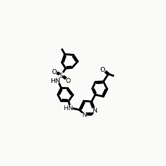 CC(=O)c1ccc(-c2cc(Nc3ccc(NS(=O)(=O)c4cccc(C)c4)cc3)ncn2)cc1